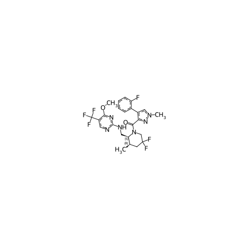 COc1nc(NC[C@@H]2[C@H](C)CC(F)(F)CN2C(=O)c2nn(C)cc2-c2ccccc2F)ncc1C(F)(F)F